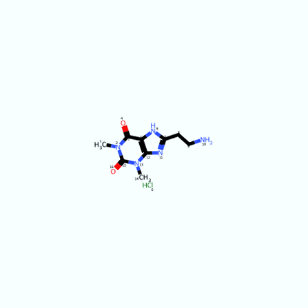 Cl.Cn1c(=O)c2[nH]c(CCN)nc2n(C)c1=O